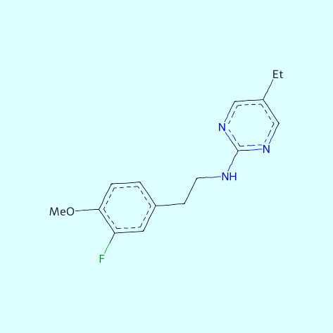 CCc1cnc(NCCc2ccc(OC)c(F)c2)nc1